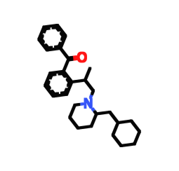 CC(CN1CCCCC1CC1CCCCC1)c1ccccc1C(=O)c1ccccc1